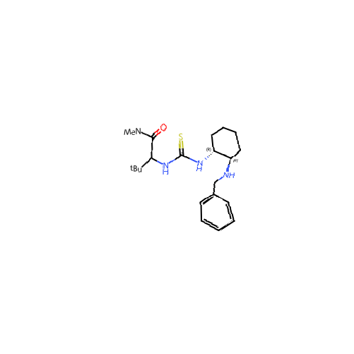 CNC(=O)C(NC(=S)N[C@@H]1CCCC[C@H]1NCc1ccccc1)C(C)(C)C